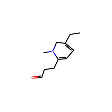 CCC1=CC=C(CCC=O)N(C)C1